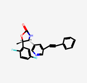 C[C@@]1(c2cc(F)ccc2F)OC(=O)N[C@@H]1c1cncc(C#Cc2ccccc2)c1